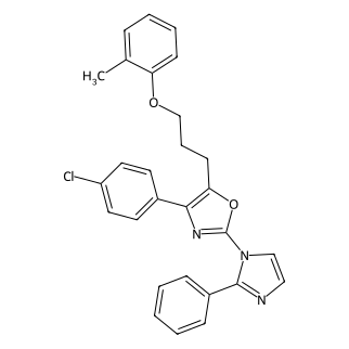 Cc1ccccc1OCCCc1oc(-n2ccnc2-c2ccccc2)nc1-c1ccc(Cl)cc1